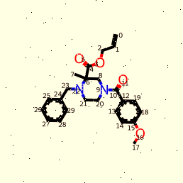 C=CCOC(=O)C1(C)CN(C(=O)c2ccc(OC)cc2)CCN1Cc1ccccc1